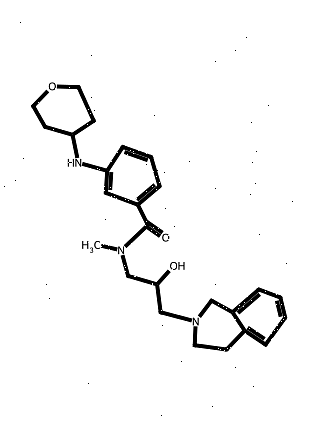 CN(CC(O)CN1CCc2ccccc2C1)C(=O)c1cccc(NC2CCOCC2)c1